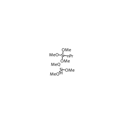 CCC[Si](OC)(OC)OC.CO[SiH](OC)OC